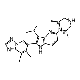 Cc1c(-c2[nH]c3ccc(N4[C@@H](C)CNC[C@@H]4C)nc3c2C(C)C)cn2ncnc2c1C